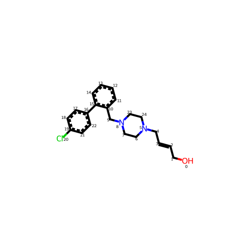 OCC=CCN1CCN(Cc2ccccc2-c2ccc(Cl)cc2)CC1